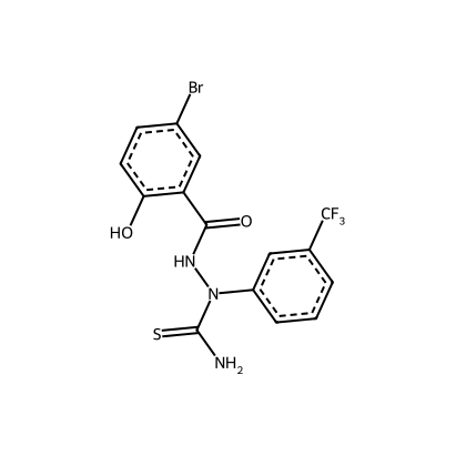 NC(=S)N(NC(=O)c1cc(Br)ccc1O)c1cccc(C(F)(F)F)c1